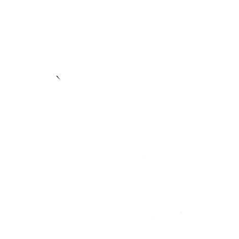 CCCCCC[C@H]1CC[C@H](CCc2ccc3c(F)c(-c4cc(F)c(C(F)(F)F)c(F)c4)ccc3c2)CC1